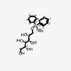 CC(C)(C)[Si](OC[C@@H](O)[C@@H](O)[C@H](O)[C@H](O)CO)(c1ccccc1)c1ccccc1